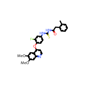 COc1cc2nccc(Oc3ccc(NC(=S)NC(=O)Cc4ccccc4C)cc3F)c2cc1OC